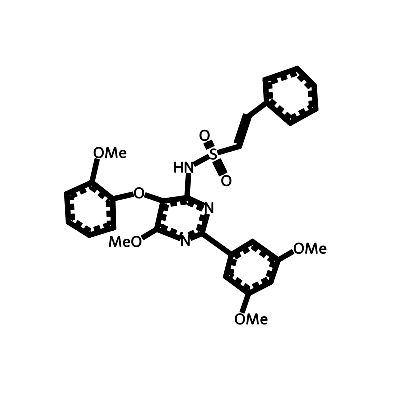 COc1cc(OC)cc(-c2nc(NS(=O)(=O)/C=C/c3ccccc3)c(Oc3ccccc3OC)c(OC)n2)c1